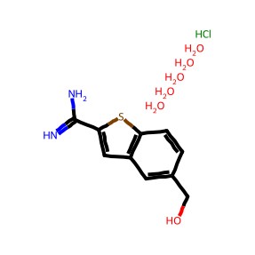 Cl.N=C(N)c1cc2cc(CO)ccc2s1.O.O.O.O.O